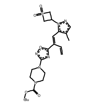 C=C/C(=C\c1c(C)cnn1C1CS(=O)(=O)C1)c1nc(N2CCN(C(=O)OC(C)(C)C)CC2)no1